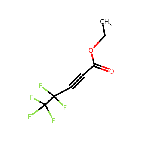 CCOC(=O)C#CC(F)(F)C(F)(F)F